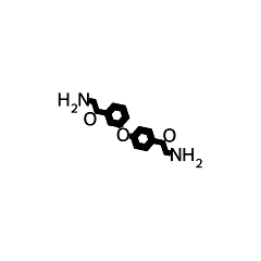 NCC(=O)c1ccc(Oc2cccc(C(=O)CN)c2)cc1